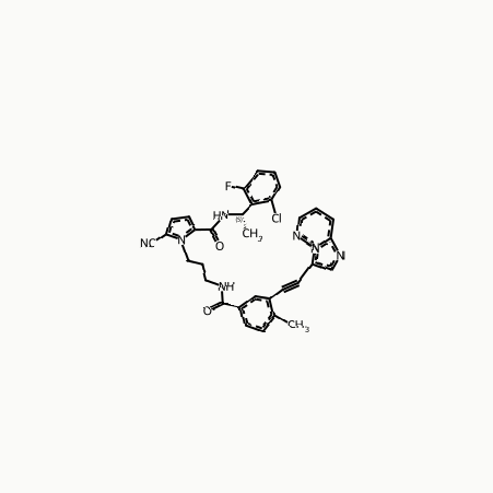 Cc1ccc(C(=O)NCCCn2c(C#N)ccc2C(=O)N[C@@H](C)c2c(F)cccc2Cl)cc1C#Cc1cnc2cccnn12